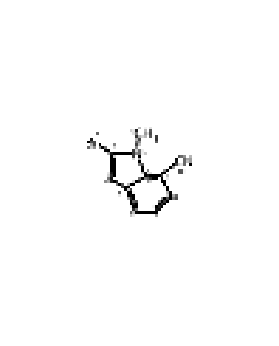 Cn1c(Br)cc2cccc(C#N)c21